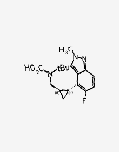 Cn1cc2c([C@@H]3C[C@H]3CN(C(=O)O)C(C)(C)C)c(F)ccc2n1